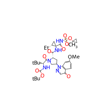 CC[C@@H]1C[C@]1(NC(=O)[C@@H]1C[C@@H](n2ncc(=O)c3ccc(OC)cc32)CN1C(=O)[C@@H](NC(=O)OC(C)(C)C)C(C)(C)C)C(=O)NS(=O)(=O)OC1(C)CC1